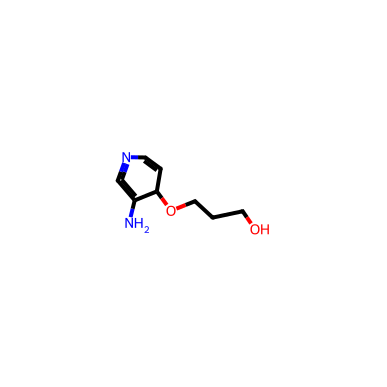 NC1=C=NC=CC1OCCCO